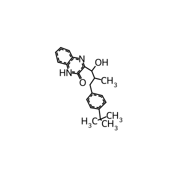 CC(Cc1ccc(C(C)(C)C)cc1)C(O)c1nc2ccccc2[nH]c1=O